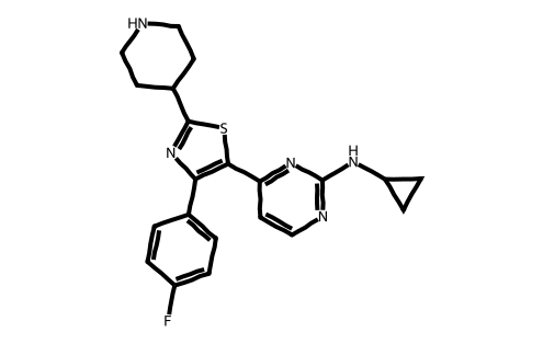 Fc1ccc(-c2nc(C3CCNCC3)sc2-c2ccnc(NC3CC3)n2)cc1